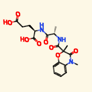 C[C@H](NC(=O)C1(C)Oc2ccccc2N(C)C1=O)C(=O)N[C@H](CCC(=O)O)C(=O)O